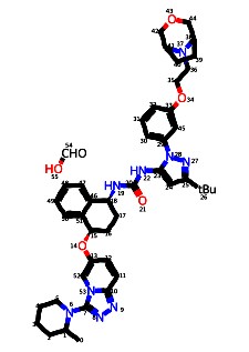 CC1CCCCN1c1nnc2ccc(O[C@@H]3CC[C@H](NC(=O)Nc4cc(C(C)(C)C)nn4-c4cccc(OCCN5C6CCC5COC6)c4)c4ccccc43)cn12.O=CO